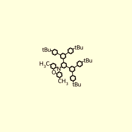 Cc1ccc2c(c1)Oc1cc(C)ccc1N2c1cc(-c2cc(-c3ccc(C(C)(C)C)cc3)cc(-c3ccc(C(C)(C)C)cc3)c2)cc(-c2cc(-c3ccc(C(C)(C)C)cc3)cc(-c3ccc(C(C)(C)C)cc3)c2)c1